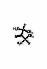 C[N+](C)([S-])C(=S)[N+](C)(C)[S-]